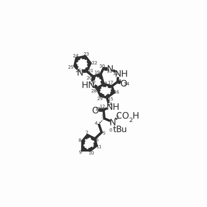 CC(C)(C)N(C(=O)O)[C@H](CCc1ccccc1)C(=O)Nc1cc2c3c(c(-c4ccccn4)[nH]c3c1)C=NNC2=O